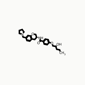 CCCC(O)COc1ccc(C(=O)N[C@H]2COc3cc(CN4CCCC4)ccc3C2)cc1